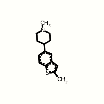 Cc1cc2cc(C3CCN(C)CC3)ccc2s1